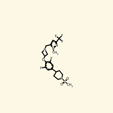 Cn1nc(C(F)(F)F)cc1CN1CC(Oc2c(F)cc(C3CCN(S(C)(=O)=O)CC3)cc2F)C1